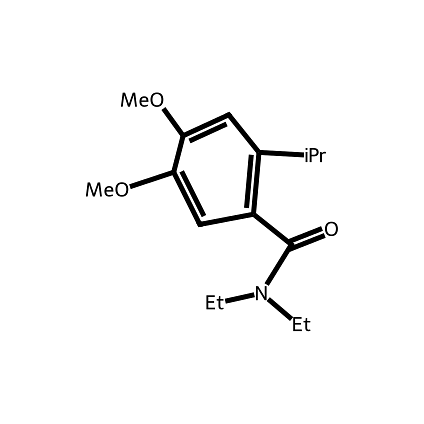 CCN(CC)C(=O)c1cc(OC)c(OC)cc1C(C)C